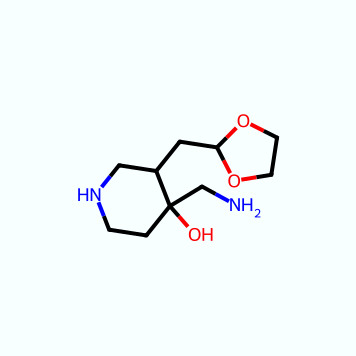 NCC1(O)CCNCC1CC1OCCO1